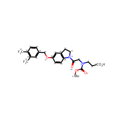 CC(C)(C)OC(=O)N(CCC(=O)O)CC(=O)N1CCc2cc(OCc3ccc(C(F)(F)F)c(C(F)(F)F)c3)ccc21